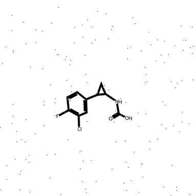 O=C(O)NC1CC1c1ccc(F)c(Cl)c1